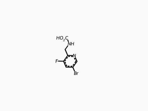 O=C(O)NCc1ncc(Br)cc1F